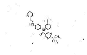 CC(C)c1ncc(C(=O)Nc2ccc(NCCc3ccccn3)cc2)c(-c2ccc(C(F)(F)F)cc2)n1